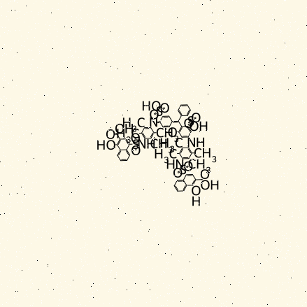 Cc1c(C)c(NS(=O)(=O)c2cc(C(=O)O)c(O)c3ccccc23)c(C)c(C)c1/N=c1\cc2oc3cc(Nc4c(C)c(C)c(NS(=O)(=O)c5cc(C(=O)O)c(O)c6ccccc56)c(C)c4C)ccc3c(-c3ccccc3S(=O)(=O)O)c-2cc1S(=O)(=O)O